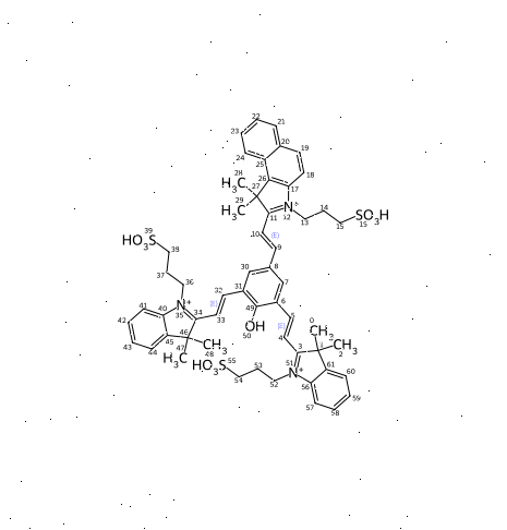 CC1(C)C(/C=C/c2cc(/C=C/C3=[N+](CCCS(=O)(=O)O)c4ccc5ccccc5c4C3(C)C)cc(/C=C/C3=[N+](CCCS(=O)(=O)O)c4ccccc4C3(C)C)c2O)=[N+](CCCS(=O)(=O)O)c2ccccc21